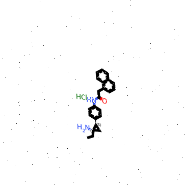 CC[C@]1(N)C[C@H]1c1ccc(NC(=O)Cc2cccc3ccccc23)cc1.Cl